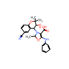 CC1OC(Nc2ccccc2)=C(C(=O)O)N1C1c2cc(C#N)ccc2OC(C)(C)C1O